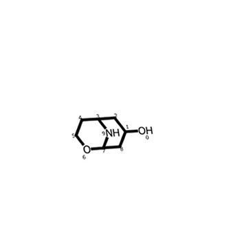 OC1CC2CCOC(C1)N2